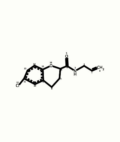 C=CCNC(=O)C1CCc2cc(Cl)ccc2O1